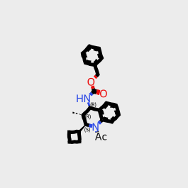 CC(=O)N1c2ccccc2[C@H](NC(=O)OCc2ccccc2)[C@@H](C)[C@@H]1C1CCC1